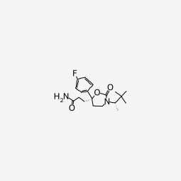 C[C@H](N1CC[C@@](CCC(N)=O)(c2ccc(F)cc2)OC1=O)C(C)(C)C